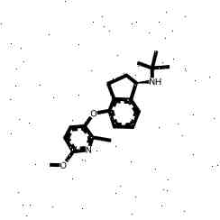 COc1ccc(Oc2cccc3c2CC[C@H]3NC(C)(C)C)c(C)n1